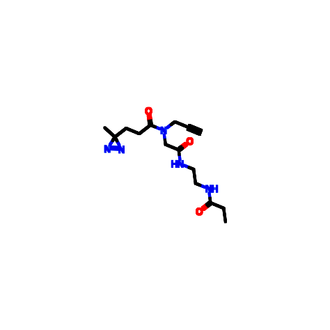 C#CCN(CC(=O)NCCNC(=O)CC)C(=O)CCC1(C)N=N1